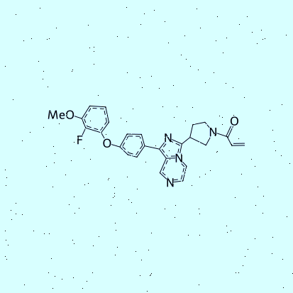 C=CC(=O)N1CCC(c2nc(-c3ccc(Oc4cccc(OC)c4F)cc3)c3cnccn23)C1